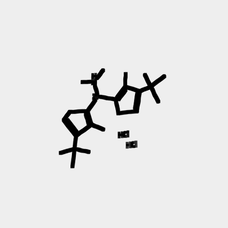 CC1=[C]([Zr]([C]2=C(C)C(C(C)(C)C)=CC2)[SiH](C)C)CC=C1C(C)(C)C.Cl.Cl